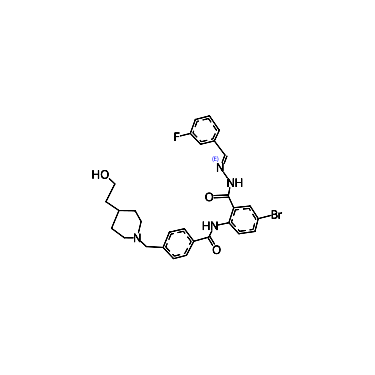 O=C(Nc1ccc(Br)cc1C(=O)N/N=C/c1cccc(F)c1)c1ccc(CN2CCC(CCO)CC2)cc1